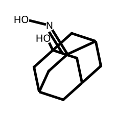 O/N=C1\CC2CC3CC1CC(O)(C2)C3